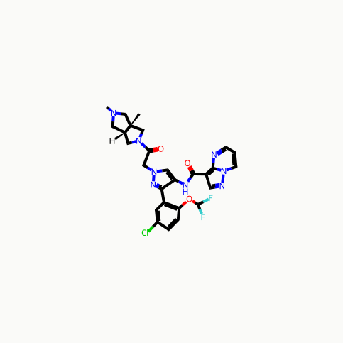 CN1C[C@H]2CN(C(=O)Cn3cc(NC(=O)c4cnn5cccnc45)c(-c4cc(Cl)ccc4OC(F)F)n3)C[C@@]2(C)C1